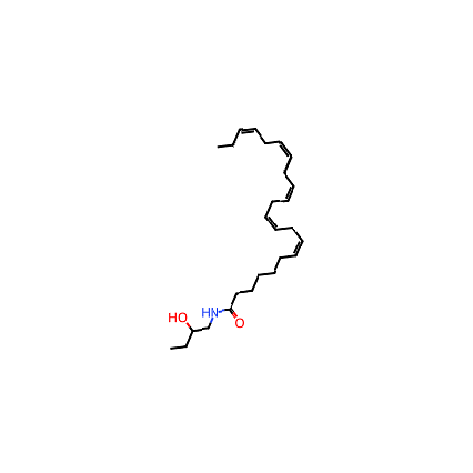 CC/C=C\C/C=C\C/C=C\C/C=C\C/C=C\CCCCCC(=O)NCC(O)CC